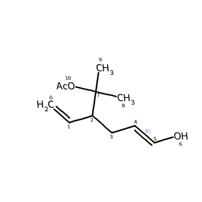 C=CC(C/C=C/O)C(C)(C)OC(C)=O